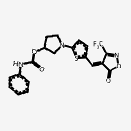 O=C(Nc1ccccc1)OC1CCN(c2ccc(/C=C3/C(=O)ON=C3C(F)(F)F)s2)C1